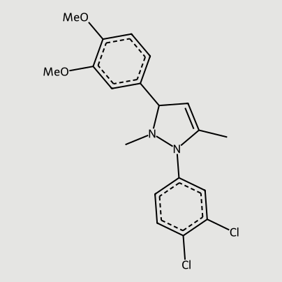 COc1ccc(C2C=C(C)N(c3ccc(Cl)c(Cl)c3)N2C)cc1OC